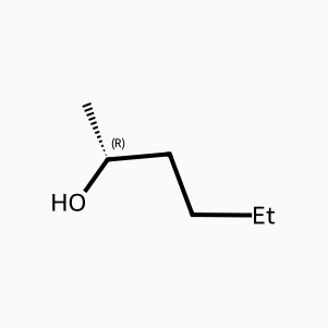 [CH2]CCC[C@@H](C)O